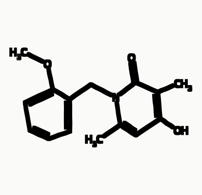 COc1ccccc1Cn1c(C)cc(O)c(C)c1=O